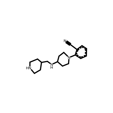 N#Cc1ccccc1N1CCC(NCC2CCNCC2)CC1